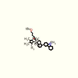 CC1=Cc2c(-c3ccc4c(c3)c3ccccc3n4C)cccc2C1[Si](C)(CCCCCCOC(C)(C)C)C1C(C)=C(C)C(C)=C1C